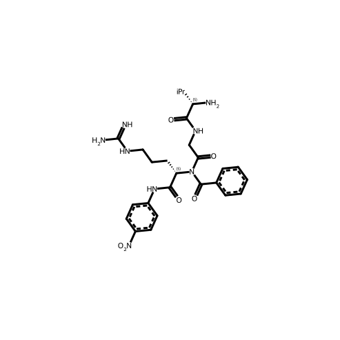 CC(C)[C@H](N)C(=O)NCC(=O)N(C(=O)c1ccccc1)[C@@H](CCCNC(=N)N)C(=O)Nc1ccc([N+](=O)[O-])cc1